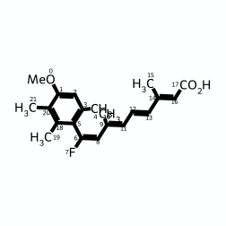 COc1cc(C)c(\C(F)=C/C(C)=C/C=C/C(C)=C/C(=O)O)c(C)c1C